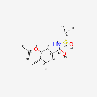 C=CC(C)CC(CCOC(=C)C)C(=O)N[S+]([O-])C1CC1